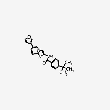 CC(C)(C)c1ccc(C(=O)Nc2cn3cc(-c4ccoc4)ccc3n2)cc1